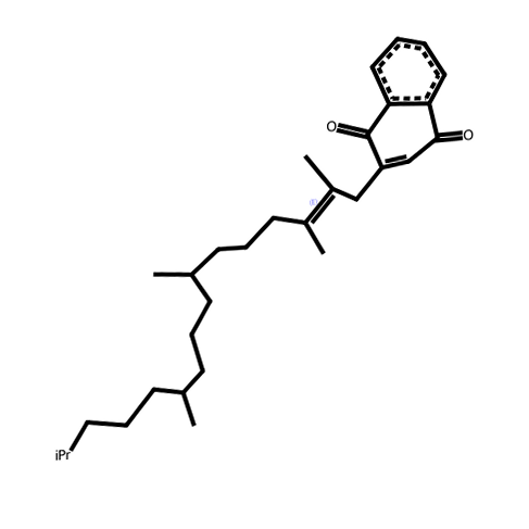 C/C(CCCC(C)CCCC(C)CCCC(C)C)=C(/C)CC1=CC(=O)c2ccccc2C1=O